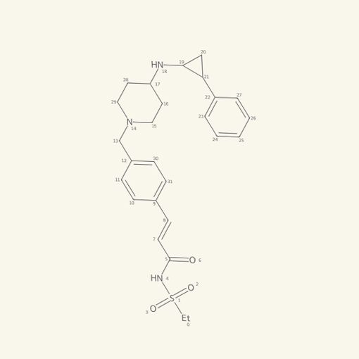 CCS(=O)(=O)NC(=O)C=Cc1ccc(CN2CCC(NC3CC3c3ccccc3)CC2)cc1